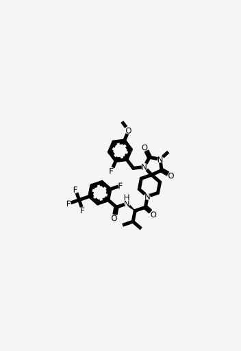 COc1ccc(F)c(CN2C(=O)N(C)C(=O)C23CCN(C(=O)[C@H](NC(=O)c2cc(C(F)(F)F)ccc2F)C(C)C)CC3)c1